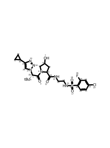 CC(C)(C)[C@@H](C(=O)N1CC(O)CC1C(=O)NCCNS(=O)(=O)c1ccc(Cl)cc1F)n1cc(C2CC2)nn1